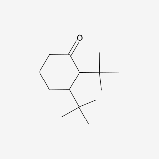 CC(C)(C)C1CCCC(=O)C1C(C)(C)C